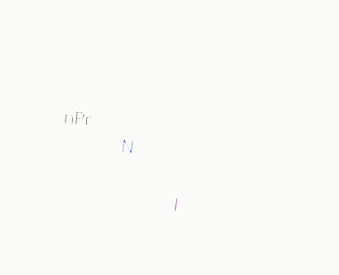 C#CC[N+](C)(C)CCC.[I-]